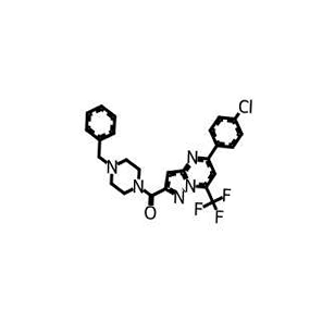 O=C(c1cc2nc(-c3ccc(Cl)cc3)cc(C(F)(F)F)n2n1)N1CCN(Cc2ccccc2)CC1